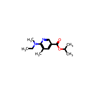 CCN(C)c1ncc(C(=O)OC(C)C)cc1C